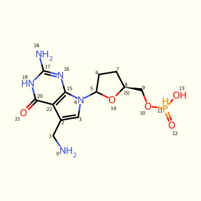 NCc1cn(C2CC[C@@H](CO[PH](=O)O)O2)c2nc(N)[nH]c(=O)c12